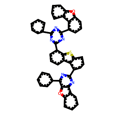 c1ccc(-c2nc(-c3cccc4c3sc3cccc(-c5nc(-c6ccccc6)c6oc7ccccc7c6n5)c34)nc(-c3cccc4oc5ccccc5c34)n2)cc1